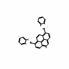 Clc1cc2ccc(-c3nc4ccccc4o3)c3ccc4c(-c5nc6ccccc6o5)ccc1c4c23